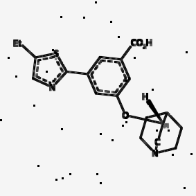 CCc1cnc(-c2cc(O[C@H]3CN4CCC3CC4)cc(C(=O)O)c2)s1